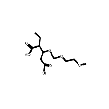 CCC(C(=O)O)C(CC(=O)O)OCOCCOC